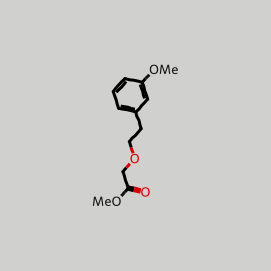 COC(=O)COCCc1cccc(OC)c1